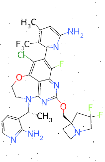 Cc1cc(N)nc(-c2c(Cl)c3c4c(nc(OC[C@]56CCN5CC(F)(F)C6)nc4c2F)N([C@H](C)c2cccnc2N)CCO3)c1C(F)(F)F